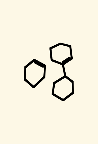 C1=C(C2CCCCC2)CCCC1.C1=CCCCC1